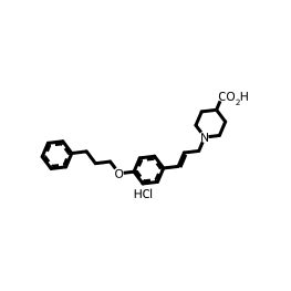 Cl.O=C(O)C1CCN(CC=Cc2ccc(OCCCc3ccccc3)cc2)CC1